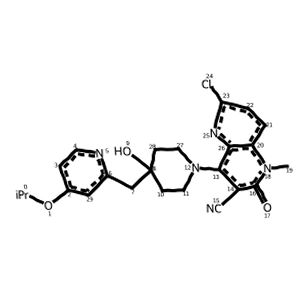 CC(C)Oc1ccnc(CC2(O)CCN(c3c(C#N)c(=O)n(C)c4ccc(Cl)nc34)CC2)c1